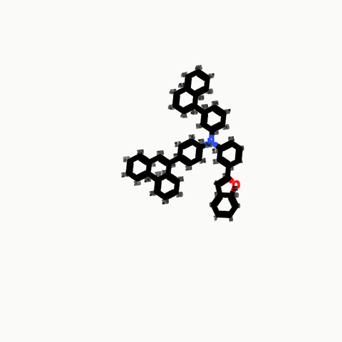 c1cc(-c2cc3ccccc3o2)cc(N(c2ccc(-c3cc4ccccc4c4ccccc34)cc2)c2cccc(-c3cccc4ccccc34)c2)c1